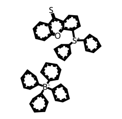 S=c1c2ccccc2oc2c([S+](c3ccccc3)c3ccccc3)cccc12.c1ccc([B-](c2ccccc2)(c2ccccc2)c2ccccc2)cc1